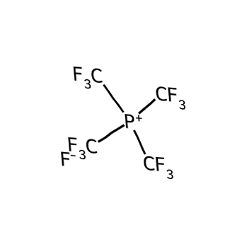 FC(F)(F)[P+](C(F)(F)F)(C(F)(F)F)C(F)(F)F.[F-]